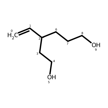 C=C[C](CCO)CCCO